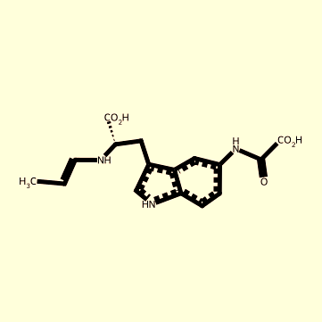 C/C=C/N[C@@H](Cc1c[nH]c2ccc(NC(=O)C(=O)O)cc12)C(=O)O